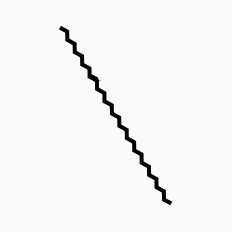 CCCCCCCCC=[C]CCCCCCCCCCCCCCCCCCCC